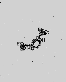 CCO[Si](CCCOC1OOOC(OCCC[Si](OCC)(OCC)OCC)C(O)CCCCC1O)(OCC)OCC